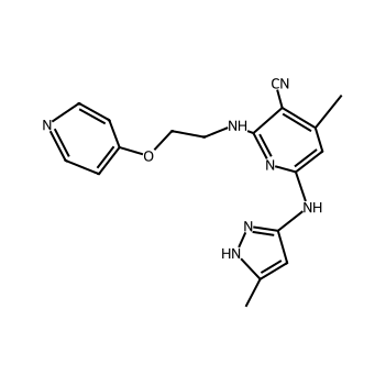 Cc1cc(Nc2cc(C)c(C#N)c(NCCOc3ccncc3)n2)n[nH]1